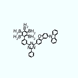 Bc1c(B)c(B)c(-c2cccc(-c3nc(-c4ccccc4)nc(-c4ccc5c(c4)oc4ccc(-n6c7ccccc7c7ccccc76)cc45)n3)c2)c(B)c1B